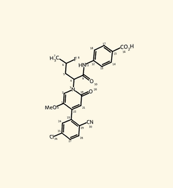 COc1cn(C(CC(C)F)C(=O)Nc2ccc(C(=O)O)cc2)c(=O)cc1-c1cc(Cl)ccc1C#N